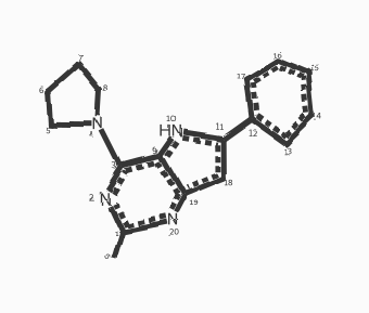 Cc1nc(N2CCCC2)c2[nH]c(-c3ccccc3)cc2n1